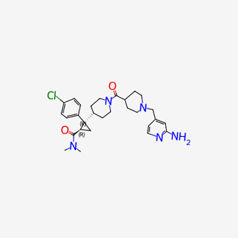 CN(C)C(=O)[C@@H]1C[C@@]1(c1ccc(Cl)cc1)C1CCN(C(=O)C2CCN(Cc3ccnc(N)c3)CC2)CC1